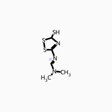 CN(C)/C=N/C1=NC(S)SS1